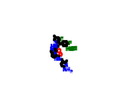 Cc1ccc([C@@H](CNc2ncc3n(c2=O)[C@H](C(=O)NCc2ccc(N)nc2C)CC3)c2ccc(F)cc2F)nc1.Cl.Cl.Cl